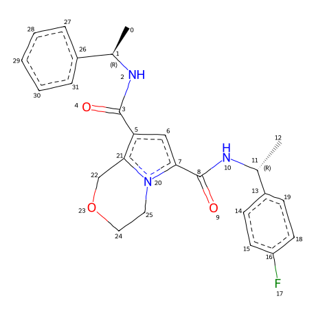 C[C@@H](NC(=O)c1cc(C(=O)N[C@H](C)c2ccc(F)cc2)n2c1COCC2)c1ccccc1